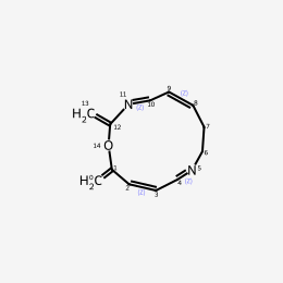 C=C1/C=C\C=N/CC/C=C\C=N/C(=C)O1